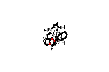 Cc1cc(Nc2cc3ncccc3c(N[C@H]3C[C@H]4CCC[C@@H](C3)N4S(=O)(=O)c3cncc(F)c3)n2)n[nH]1